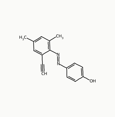 C#Cc1cc(C)cc(C)c1N=Nc1ccc(O)cc1